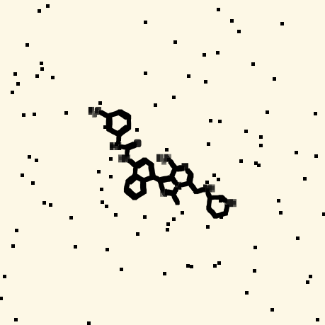 Cc1nc(-c2ccc(NC(=O)Nc3cccc(C(F)(F)F)c3)c3ccccc23)c2c(N)ncc(CNC3CCCNC3)n12